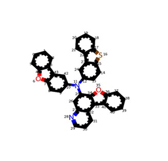 c1ccc2c(c1)oc1ccc(N(c3ccc4sc5ccccc5c4c3)c3cc4ncccc4c4c3oc3ccccc34)cc12